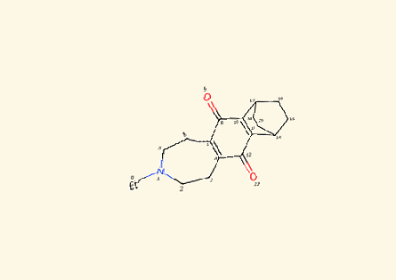 CCN1CCC2=C(CC1)C(=O)C1=C(C2=O)C2CCC1CC2